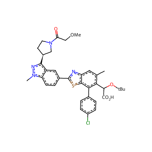 COCC(=O)N1CC[C@H](c2nn(C)c3ccc(-c4nc5cc(C)c(C(OC(C)(C)C)C(=O)O)c(-c6ccc(Cl)cc6)c5s4)cc23)C1